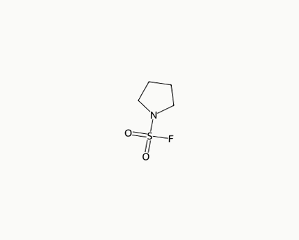 O=S(=O)(F)N1CCCC1